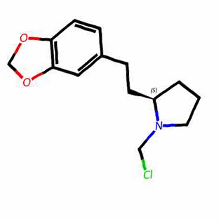 ClCN1CCC[C@@H]1CCc1ccc2c(c1)OCO2